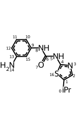 CC(C)c1cnc(NC(=O)Nc2cccc(N)c2)s1